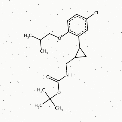 CC(C)COc1ccc(Cl)cc1C1CC1CNC(=O)OC(C)(C)C